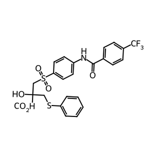 O=C(Nc1ccc(S(=O)(=O)CC(O)(CSc2ccccc2)C(=O)O)cc1)c1ccc(C(F)(F)F)cc1